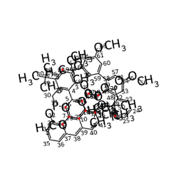 COc1cc(-c2cc(OC)cc(C(C)(C)C)c2OP2OC(=O)c3cccnc3O2)c(CP2Oc3cccc4cc5cccc(Op6oc7c(C(C)(C)C)cc(OC)cc7c7cc(OC)cc(C(C)(C)C)c7o6)c5c(c34)O2)c(C(C)(C)C)c1